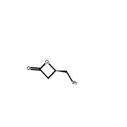 CC(C)C[C@H]1CC(=O)O1